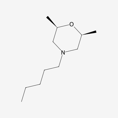 CCCCCN1C[C@@H](C)O[C@@H](C)C1